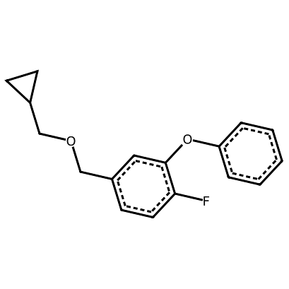 Fc1ccc(COCC2CC2)cc1Oc1ccccc1